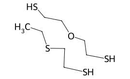 CCSCCS.SCCOCCS